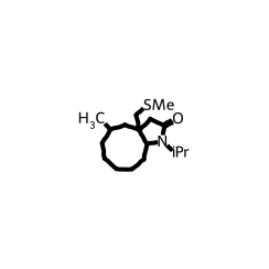 CSCC12CC(=O)N(C(C)C)C1CCCCCC(C)C2